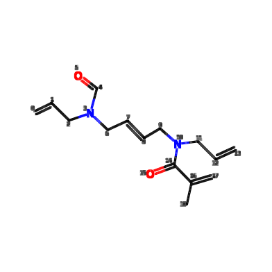 C=CCN(C=O)C/C=C/CN(CC=C)C(=O)C(=C)C